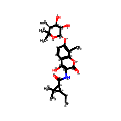 CO[C@@H]1[C@@H](O)[C@@H](O)[C@H](Oc2ccc3c(O)c(NC(=O)C4C(CC(C)C)C4(C)C)c(=O)oc3c2C)OC1(C)C